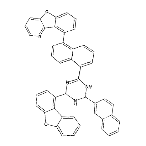 c1ccc2cc(C3NC(c4cccc5c(-c6cccc7oc8cccnc8c67)cccc45)=NC(c4cccc5oc6ccccc6c45)N3)ccc2c1